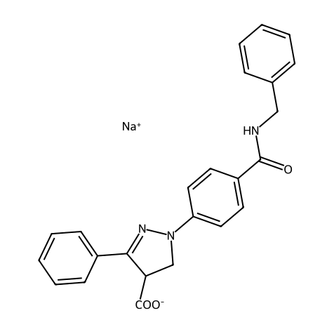 O=C(NCc1ccccc1)c1ccc(N2CC(C(=O)[O-])C(c3ccccc3)=N2)cc1.[Na+]